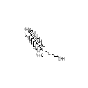 [2H]OCCCCCC(O[2H])C([2H])([2H])C([2H])([2H])C([2H])([2H])C([2H])([2H])C([2H])([2H])C([2H])([2H])C([2H])([2H])[2H]